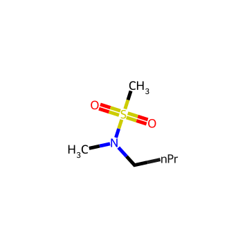 CCCCN(C)S(C)(=O)=O